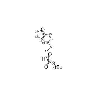 CC(C)(C)OC(=O)NOCCc1ccc2c(c1)CCO2